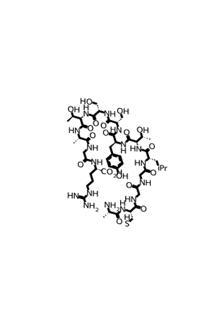 CC(C)C[C@H](NC(=O)CNC(=O)CNC(=O)[C@H](CS)NC(=O)[C@H](C)N)C(=O)N[C@H](C(=O)N[C@@H](Cc1ccc(O)cc1)C(=O)N[C@@H](CO)C(=O)N[C@@H](CO)C(=O)N[C@H](C(=O)N[C@@H](C)C(=O)NCC(=O)N[C@@H](CCCNC(=N)N)C(=O)O)[C@@H](C)O)[C@@H](C)O